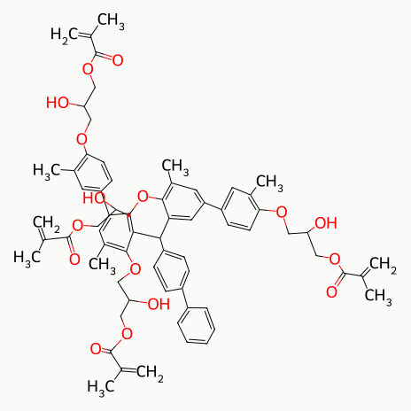 C=C(C)C(=O)OCC(O)COc1ccc(-c2cc(C)c(OCC(O)COC(=O)C(=C)C)c(C(c3ccc(-c4ccccc4)cc3)c3cc(-c4ccc(OCC(O)COC(=O)C(=C)C)c(C)c4)cc(C)c3OCC(O)COC(=O)C(=C)C)c2)cc1C